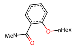 [CH2]NC(=O)c1ccccc1OCCCCCC